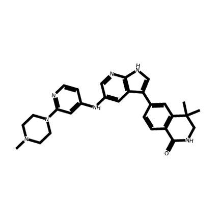 CN1CCN(c2cc(Nc3cnc4[nH]cc(-c5ccc6c(c5)C(C)(C)CNC6=O)c4c3)ccn2)CC1